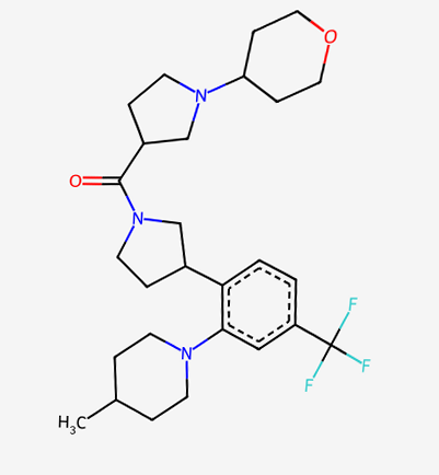 CC1CCN(c2cc(C(F)(F)F)ccc2C2CCN(C(=O)C3CCN(C4CCOCC4)C3)C2)CC1